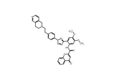 COc1cc(NC(=O)c2cc(=O)c3ccccc3o2)c(-c2nnn(-c3ccc(CCN4CCc5cnccc5C4)cc3)n2)cc1OC